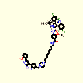 COc1cc(C(=O)NCCCCCCCCCN2CCN(Cc3ccc(-c4cc(-c5ccccc5O)nnc4N)cc3)CC2)ccc1NC(=O)[C@@H]1N[C@@H](CC(C)(C)C)[C@](C#N)(c2ccc(Cl)cc2F)[C@H]1c1cccc(Cl)c1F